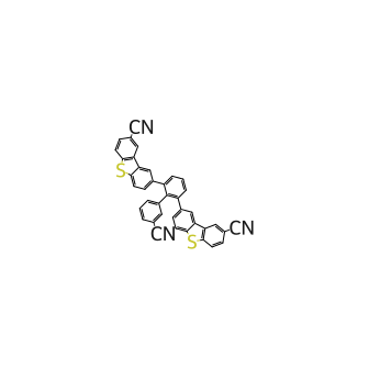 N#Cc1cccc(-c2c(-c3ccc4sc5ccc(C#N)cc5c4c3)cccc2-c2ccc3sc4ccc(C#N)cc4c3c2)c1